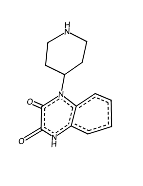 O=c1[nH]c2ccccc2n(C2CCNCC2)c1=O